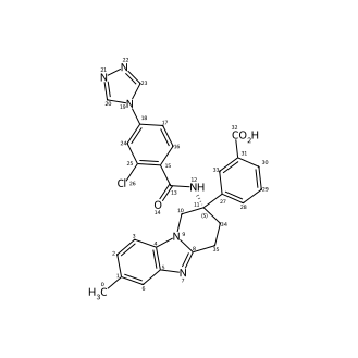 Cc1ccc2c(c1)nc1n2C[C@@](NC(=O)c2ccc(-n3cnnc3)cc2Cl)(c2cccc(C(=O)O)c2)CC1